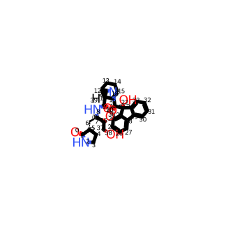 O=C1NCC[C@H]1C[C@@H](NC(=O)[C@H]1C2CCC(CC2)N1C(=O)C1(O)c2ccccc2-c2ccccc21)C(=O)CO